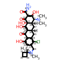 CN(C)[C@@H]1C(O)=C(C(N)=O)C(=O)[C@@]2(O)C(O)=C3C(=O)c4c(O)cc(CN(C)C5(C)CCC5)c(Cl)c4C[C@H]3C[C@@H]12